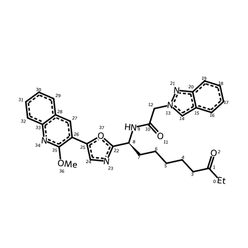 CCC(=O)CCCCC[C@H](NC(=O)Cn1cc2ccccc2n1)c1ncc(-c2cc3ccccc3nc2OC)o1